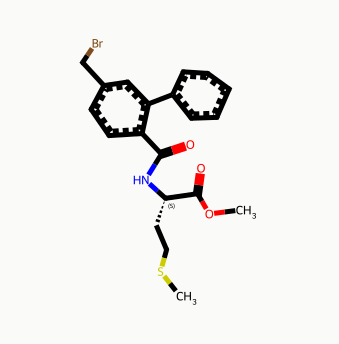 COC(=O)[C@H](CCSC)NC(=O)c1ccc(CBr)cc1-c1ccccc1